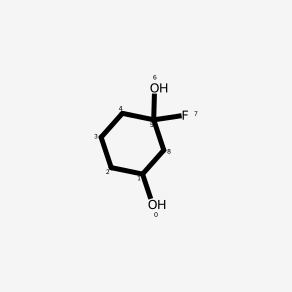 OC1CCCC(O)(F)C1